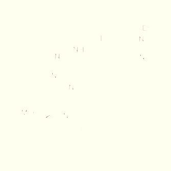 C=CC(=O)N1C[C@@H](n2cc(C#Cc3cc4ncn(CC)c4cc3Cl)c3c(N)ncnc32)C[C@@H]1COC